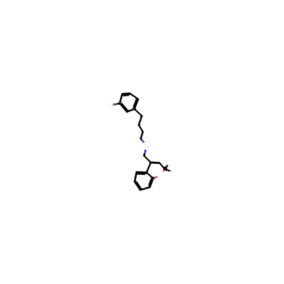 CC1(C)CC(CNCCCCc2cccc([N+](=O)[O-])c2)c2ccccc2O1